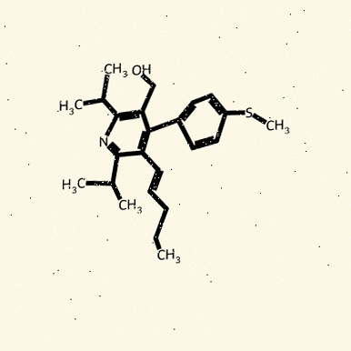 CCCC=Cc1c(C(C)C)nc(C(C)C)c(CO)c1-c1ccc(SC)cc1